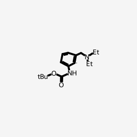 CCN(CC)Cc1[c]c(NC(=O)OC(C)(C)C)ccc1